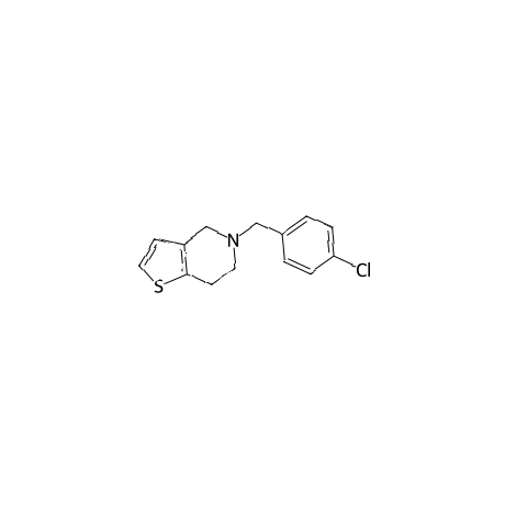 Clc1ccc(CN2CCc3sccc3C2)cc1